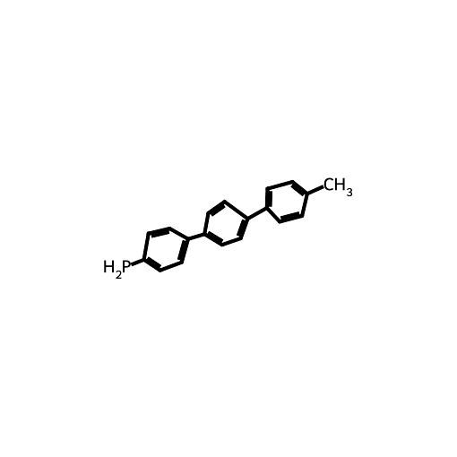 Cc1ccc(-c2ccc(-c3ccc(P)cc3)cc2)cc1